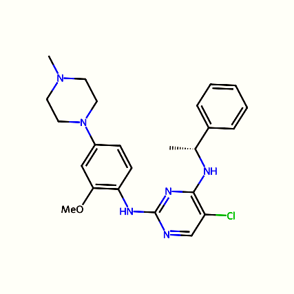 COc1cc(N2CCN(C)CC2)ccc1Nc1ncc(Cl)c(N[C@H](C)c2ccccc2)n1